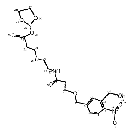 O=C(CCOCc1ccc([N+](=O)[O-])c(CO)c1)NCCOCCC(=O)ON1OCCO1